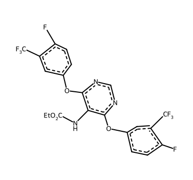 CCOC(=O)Nc1c(Oc2ccc(F)c(C(F)(F)F)c2)ncnc1Oc1ccc(F)c(C(F)(F)F)c1